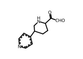 O=CC(=O)C1CCC(c2ccncc2)CN1